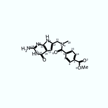 COC(=O)c1ccc(C(=O)N(C)Cc2cc3c(=O)[nH]c(N)nc3[nH]2)cc1